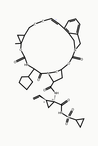 C=C[C@@H]1C[C@]1(NC(=O)C1CC2CN1C(=O)C(C1CCCC1)NC(=O)OC1(C)CC1CCC/C=C\c1cccc3c1CN(C3)C(=O)O2)C(=O)NS(=O)(=O)C1CC1